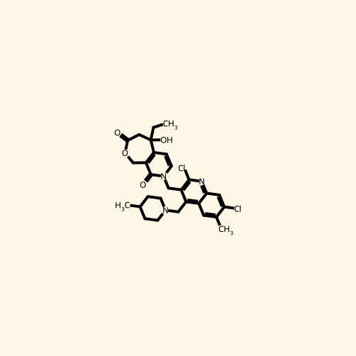 CCC1(O)CC(=O)OCc2c1ccn(Cc1c(Cl)nc3cc(Cl)c(C)cc3c1CN1CCC(C)CC1)c2=O